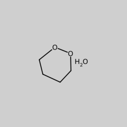 C1CCOOC1.O